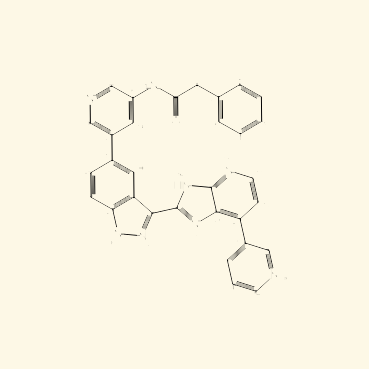 O=C(Cc1ccccc1)Nc1cncc(-c2ccc3[nH]nc(-c4nc5c(-c6cccnc6)ccnc5[nH]4)c3c2)c1